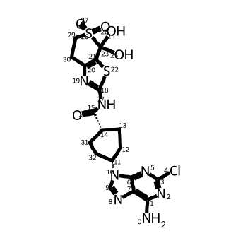 Nc1nc(Cl)nc2c1ncn2[C@H]1CC[C@@H](C(=O)Nc2nc3c(s2)C(O)(O)S(=O)(=O)CC3)CC1